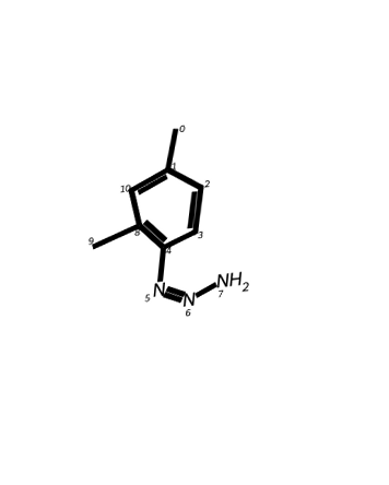 Cc1ccc(/N=N\N)c(C)c1